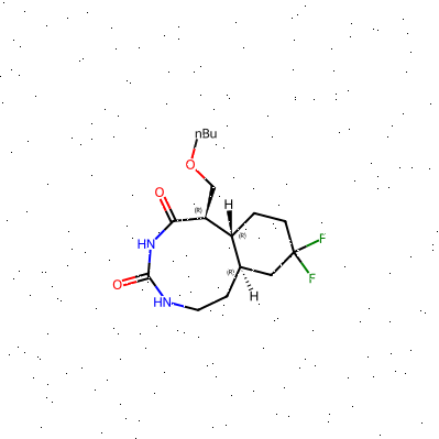 CCCCOC[C@@H]1C(=O)NC(=O)NCC[C@@H]2CC(F)(F)CC[C@H]21